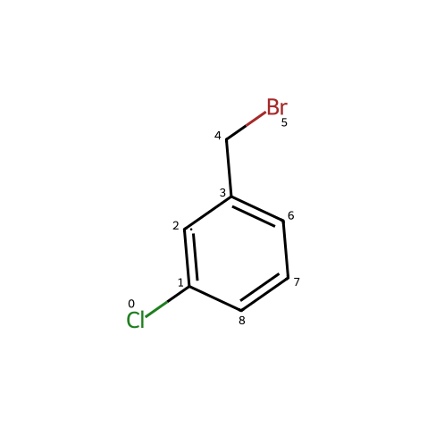 Clc1[c]c(CBr)ccc1